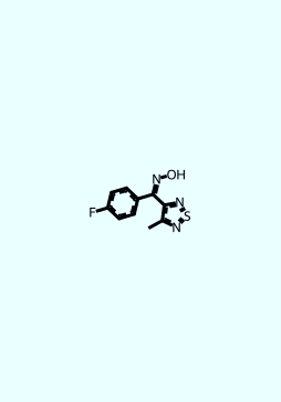 Cc1nsnc1/C(=N\O)c1ccc(F)cc1